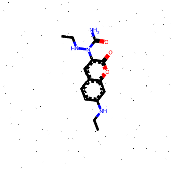 CCNc1ccc2cc(N(NCC)C(N)=O)c(=O)oc2c1